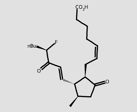 CCCC[C@@H](F)C(=O)/C=C/[C@H]1[C@H](C)CC(=O)[C@@H]1C/C=C\CCCC(=O)O